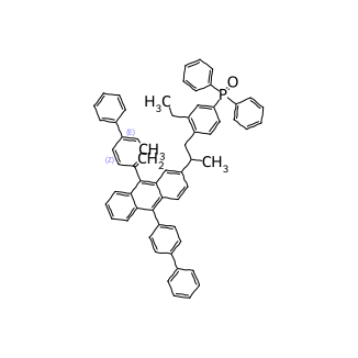 C=C(/C=C\C(=C/C)c1ccccc1)c1c2ccccc2c(-c2ccc(-c3ccccc3)cc2)c2ccc(C(C)Cc3ccc(P(=O)(c4ccccc4)c4ccccc4)cc3CC)cc12